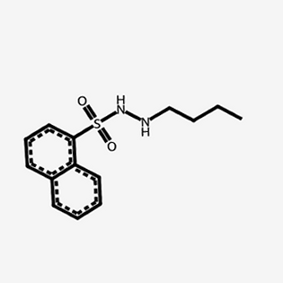 CCCCNNS(=O)(=O)c1cccc2ccccc12